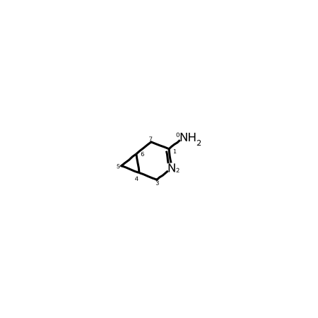 NC1=NCC2CC2C1